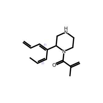 C=C/C=C(\C=C/C)C1CNCCN1C(=O)C(=C)C